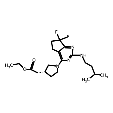 CCOC(=O)C[C@H]1CCN(c2nc(NCCC(C)C)nc3c2CCC3(F)F)C1